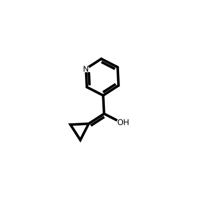 OC(=C1CC1)c1cccnc1